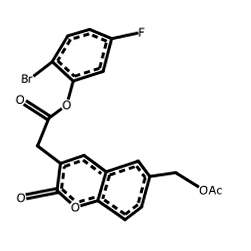 CC(=O)OCc1ccc2oc(=O)c(CC(=O)Oc3cc(F)ccc3Br)cc2c1